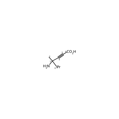 CC(C)C(C)(N)C#CC(=O)O